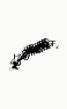 C=C(C)C(=O)OCCNC(=O)OC(F)(F)C(F)(F)C(F)(F)C(F)(F)C(F)(F)C(F)(F)C(F)(F)C(F)(F)C(F)(F)C(F)(F)F